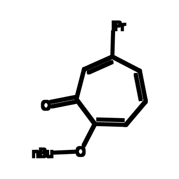 CCCCOc1cccc(C(C)C)cc1=O